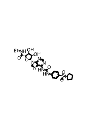 CCNC(=O)[C@H]1O[C@@H](n2cnc3c(NC(=O)Nc4ccc(S(=O)(=O)N5CCCC5)cc4)ncnc32)[C@H](O)[C@@H]1O